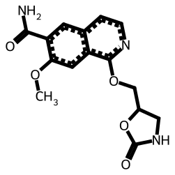 COc1cc2c(OCC3CNC(=O)O3)nccc2cc1C(N)=O